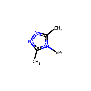 CCCn1c(C)nnc1C